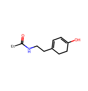 CCC(=O)NCCC1=CC=C(O)CC1